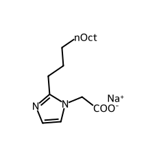 CCCCCCCCCCCc1nccn1CC(=O)[O-].[Na+]